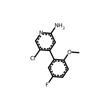 COc1ccc(F)cc1-c1cc(N)ncc1Cl